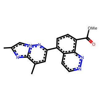 COC(=O)c1ccc(-c2cc(C)c3nc(C)cn3n2)c2ccnnc12